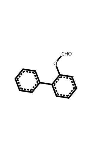 O=COc1[c]cccc1-c1ccccc1